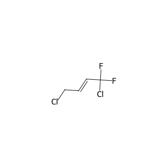 FC(F)(Cl)C=CCCl